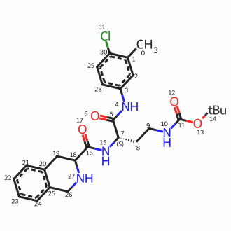 Cc1cc(NC(=O)[C@H](CCNC(=O)OC(C)(C)C)NC(=O)C2Cc3ccccc3CN2)ccc1Cl